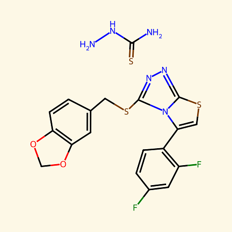 Fc1ccc(-c2csc3nnc(SCc4ccc5c(c4)OCO5)n23)c(F)c1.NNC(N)=S